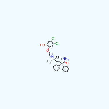 CC(C)(CCC(C(N)=O)(c1ccccc1)c1ccccc1)N1CC(Oc2cc(Cl)c(Cl)cc2O)C1